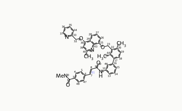 CNC(=O)c1ccc(/C=C/C(=O)Nc2cccc(-c3ccc(C)c(COc4cccc5c(OCc6ccccn6)cc(C)nc45)c3C)c2)cc1